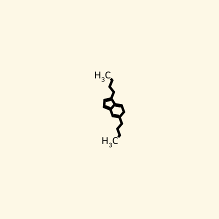 CCCCC1=CC2=CC=C(CCCC)C2=CC1